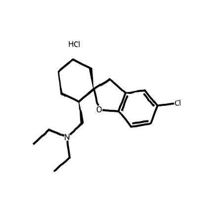 CCN(CC)C[C@H]1CCCC[C@]12Cc1cc(Cl)ccc1O2.Cl